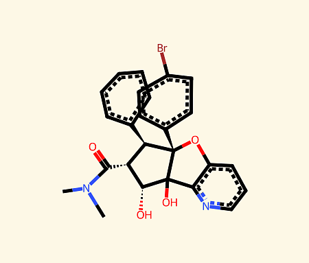 CN(C)C(=O)[C@H]1[C@@H](O)C2(O)c3ncccc3O[C@@]2(c2ccc(Br)cc2)[C@@H]1c1ccccc1